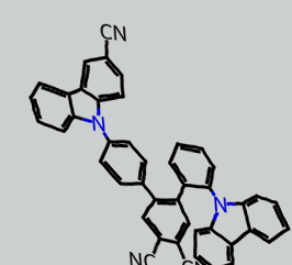 N#Cc1ccc2c(c1)c1ccccc1n2-c1ccc(-c2cc(C#N)c(C#N)cc2-c2ccccc2-n2c3ccccc3c3ccccc32)cc1